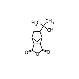 CC(C)(C)C1CC2CC1C1C(=O)OC(=O)C21